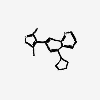 CC1=NCC(C)=C1c1cc(C2CCCC2)c2cccnc2c1